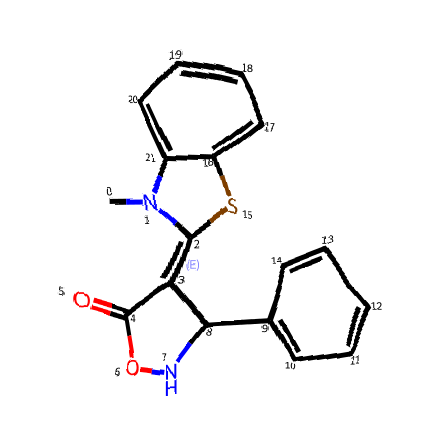 CN1/C(=C2\C(=O)ONC2c2ccccc2)Sc2ccccc21